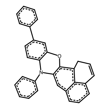 C1=Cc2cccc3cc4c(c(c23)C1)Oc1cc(-c2ccccc2)ccc1N4c1ccccc1